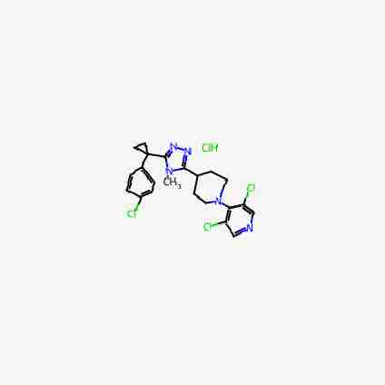 Cl.Cn1c(C2CCN(c3c(Cl)cncc3Cl)CC2)nnc1C1(c2ccc(Cl)cc2)CC1